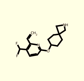 C=Cc1nc(OC2CCC3(CC2)CNC3)ccc1C(F)F